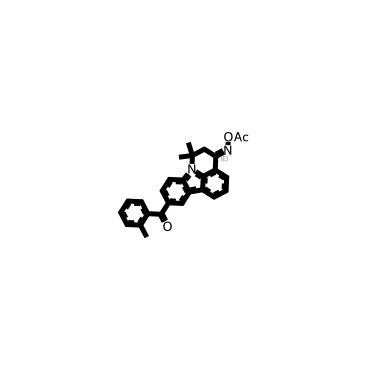 CC(=O)O/N=C1\CC(C)(C)n2c3ccc(C(=O)c4ccccc4C)cc3c3cccc1c32